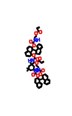 C=CC(=O)OCCNC(=O)Oc1ccc2ccccc2c1-c1c(OC(=O)NCC2(C)CC(NC(=O)Oc3ccc4ccccc4c3-c3c(OC(=O)NCCOC(=O)C=C)ccc4ccccc34)CC(C)(C)C2)ccc2ccccc12